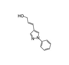 OC/C=C/c1cnn(-c2ccccc2)c1